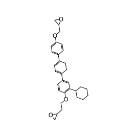 C1=C(c2ccc(OCC3CO3)cc2)CCC(c2ccc(OCCC3CO3)c(C3CCCCC3)c2)=C1